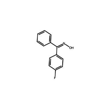 ON=C(c1ccccc1)c1ccc(F)cc1